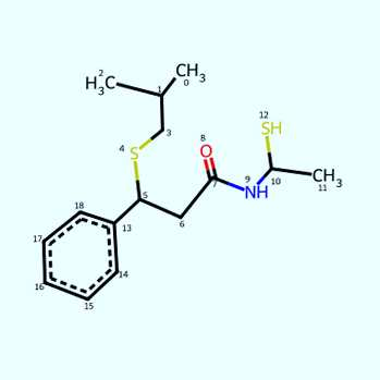 CC(C)CSC(CC(=O)NC(C)S)c1ccccc1